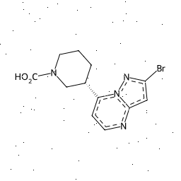 O=C(O)N1CCC[C@H](c2ccnc3cc(Br)nn23)C1